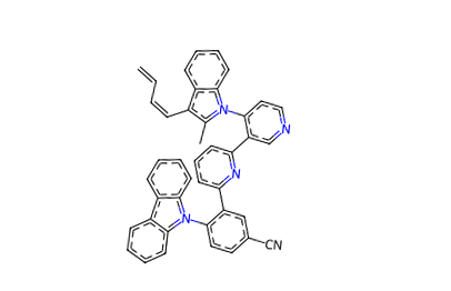 C=C/C=C\c1c(C)n(-c2ccncc2-c2cccc(-c3cc(C#N)ccc3-n3c4ccccc4c4ccccc43)n2)c2ccccc12